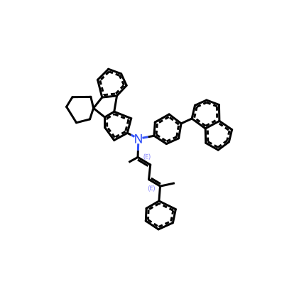 C/C(=C\C=C(/C)N(c1ccc(-c2cccc3ccccc23)cc1)c1ccc2c(c1)-c1ccccc1C21CCCCC1)c1ccccc1